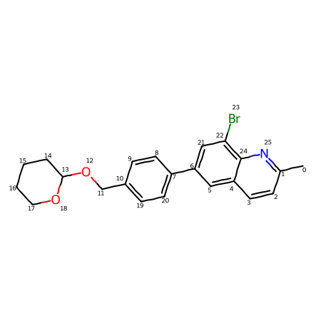 Cc1ccc2cc(-c3ccc(COC4CCCCO4)cc3)cc(Br)c2n1